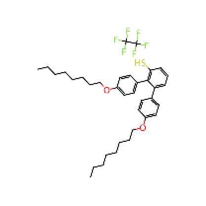 CCCCCCCCOc1ccc(-c2cccc(S)c2-c2ccc(OCCCCCCCC)cc2)cc1.FC(F)(F)C(F)(F)F